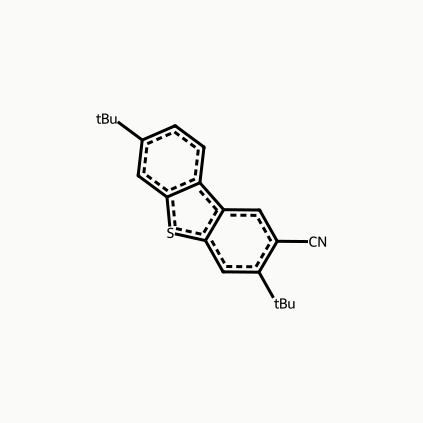 CC(C)(C)c1ccc2c(c1)sc1cc(C(C)(C)C)c(C#N)cc12